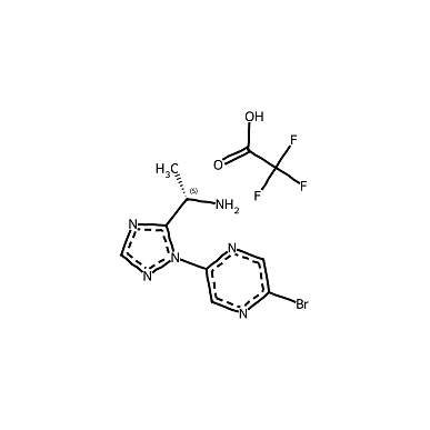 C[C@H](N)c1ncnn1-c1cnc(Br)cn1.O=C(O)C(F)(F)F